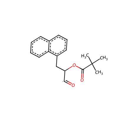 CC(C)(C)C(=O)OC([C]=O)Cc1cccc2ccccc12